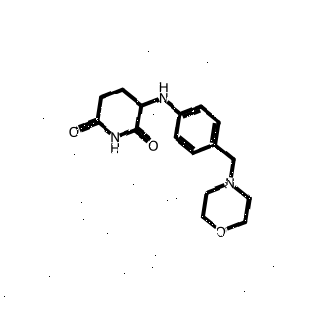 O=C1CCC(Nc2ccc(CN3CCOCC3)cc2)C(=O)N1